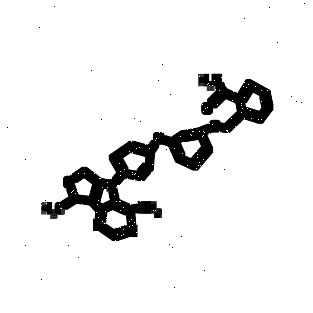 CC1OCc2c1c1ncnc(N)c1n2-c1ccc(Oc2cccc(OCc3ccccc3C(N)=O)c2)cc1